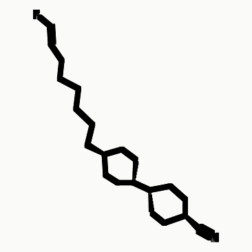 N#C[C@H]1CC[C@H]([C@H]2CC[C@H](CCCCCCC=CF)CC2)CC1